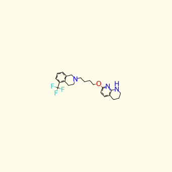 FC(F)(F)c1cccc2c1CCN(CCCCOc1ccc3c(n1)NCCC3)C2